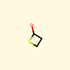 [O]C1CCS1